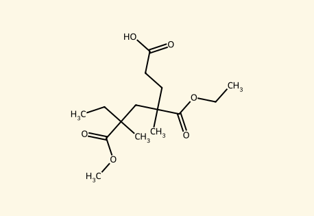 CCOC(=O)C(C)(CCC(=O)O)CC(C)(CC)C(=O)OC